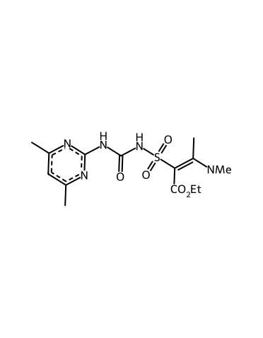 CCOC(=O)C(=C(C)NC)S(=O)(=O)NC(=O)Nc1nc(C)cc(C)n1